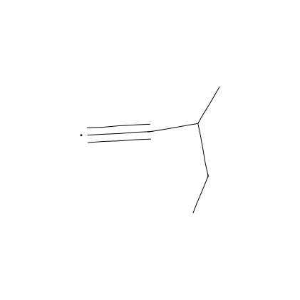 [C]#CC(C)CC